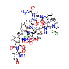 CCCCc1ccc(C[C@H](NC(=O)[C@H](CCC(N)=O)NC(=O)[C@@H]2CC[C@@H]3CCN(CC(F)F)C[C@H](NC(=O)c4cc5cc(C(F)(F)P(=O)(O)O)ccc5s4)C(=O)N32)C(=O)N2CCN(CCNc3cccc4c3C(=O)N(C3CCC(=O)NC3=O)C4=O)CC2)cc1